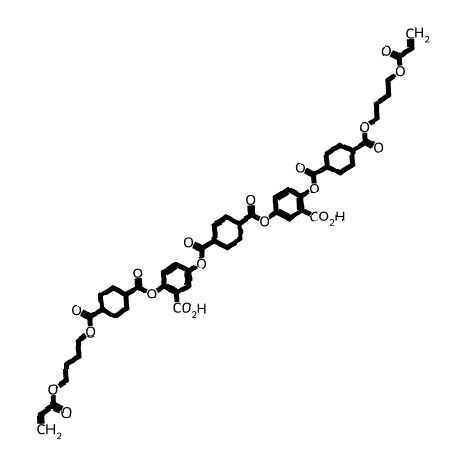 C=CC(=O)OCCCCOC(=O)C1CCC(C(=O)Oc2ccc(OC(=O)C3CCC(C(=O)Oc4ccc(OC(=O)C5CCC(C(=O)OCCCCOC(=O)C=C)CC5)c(C(=O)O)c4)CC3)cc2C(=O)O)CC1